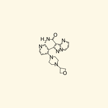 NC(=O)c1c(-c2cnccc2N2CCN(C3COC3)CC2)nn2cccnc12